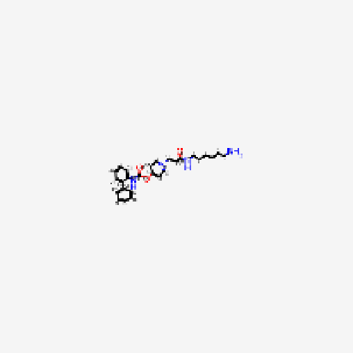 NCCCCCCNC(=O)CCN1CCC(OC(=O)Nc2ccccc2-c2ccccc2)CC1